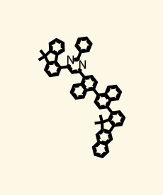 CC1(C)c2ccccc2-c2c(-c3cc(-c4ccc(-c5ccc(-c6cccc7c6C(C)(C)c6cc8ccccc8cc6-7)c6ccccc56)c5ccccc45)nc(-c4ccccc4)n3)cccc21